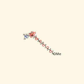 COCCOCCOCCOCCOCCOCCOP(=O)(O)OCC[N+](C)(C)C